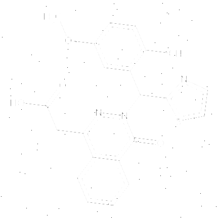 COc1ccc(C)c(C(c2nccs2)n2nc(CC(=O)O)c3ccccc3c2=O)c1